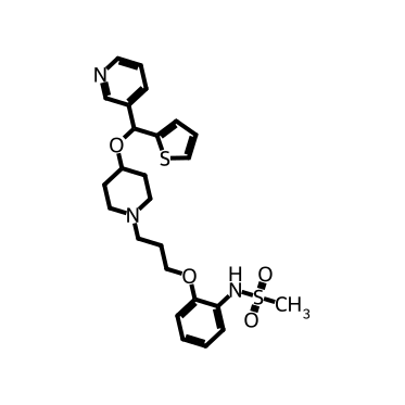 CS(=O)(=O)Nc1ccccc1OCCCN1CCC(OC(c2cccnc2)c2cccs2)CC1